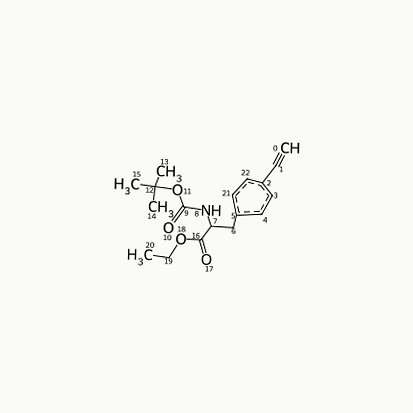 C#Cc1ccc(CC(NC(=O)OC(C)(C)C)C(=O)OCC)cc1